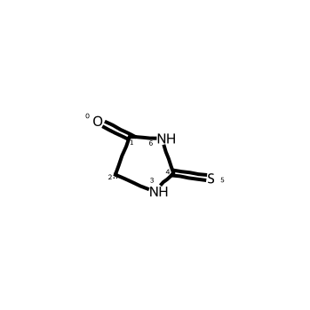 O=C1[C]NC(=S)N1